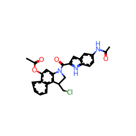 CC(=O)Nc1ccc2[nH]c(C(=O)N3CC(CCl)c4c3cc(OC(C)=O)c3ccccc43)cc2c1